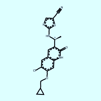 C[C@H](Nc1ncc(C#N)s1)c1cc2cc(Cl)c(OCC3CC3)cc2[nH]c1=O